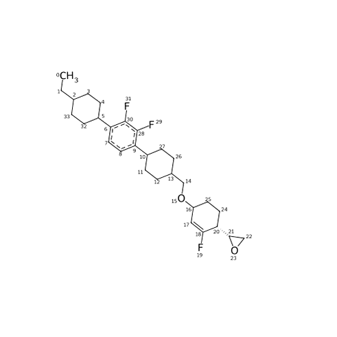 CCC1CCC(c2ccc(C3CCC(COC4C=C(F)[C@@H](C5CO5)CC4)CC3)c(F)c2F)CC1